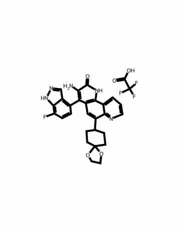 Nc1c(-c2ccc(F)c3[nH]ncc23)c2cc(C3CCC4(CC3)OCCO4)c3ncccc3c2[nH]c1=O.O=C(O)C(F)(F)F